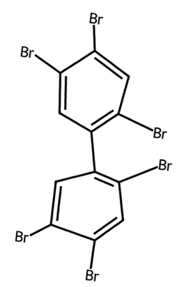 Brc1cc(Br)c(-c2cc(Br)c(Br)cc2Br)cc1Br